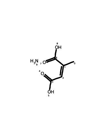 C/C(=C/C(=O)O)C(=O)O.N